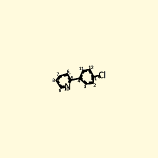 Clc1ccc(-c2[c]cccn2)cc1